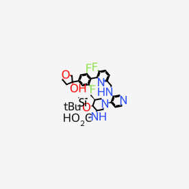 C[C@H]1CN(c2ccncc2NCc2ccc(F)c(-c3c(F)cc(C4(O)CCOC4)cc3F)n2)C[C@@H](NC(=O)O)[C@@H]1O[Si](C)(C)C(C)(C)C